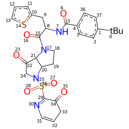 CC(C)(C)c1ccc(C(=O)NC(Cc2cccs2)C(=O)N2CCC3C2C(=O)CN3S(=O)(=O)C2=NC=CCC2=O)cc1